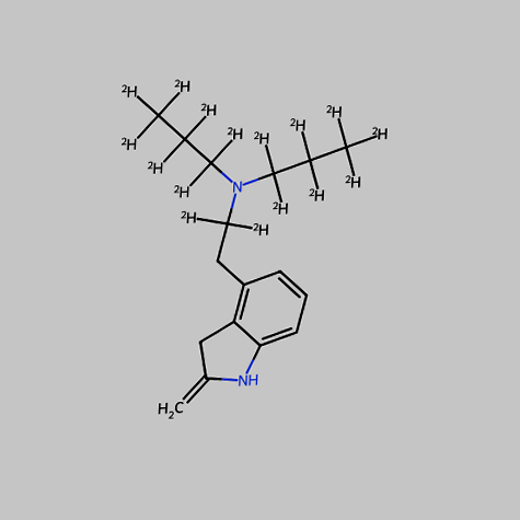 [2H]C([2H])(Cc1cccc2c1CC(=C)N2)N(C([2H])([2H])C([2H])([2H])C([2H])([2H])[2H])C([2H])([2H])C([2H])([2H])C([2H])([2H])[2H]